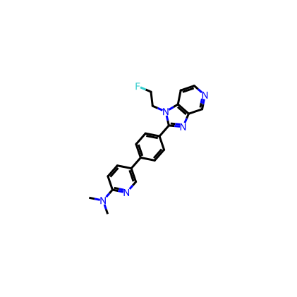 CN(C)c1ccc(-c2ccc(-c3nc4cnccc4n3CCF)cc2)cn1